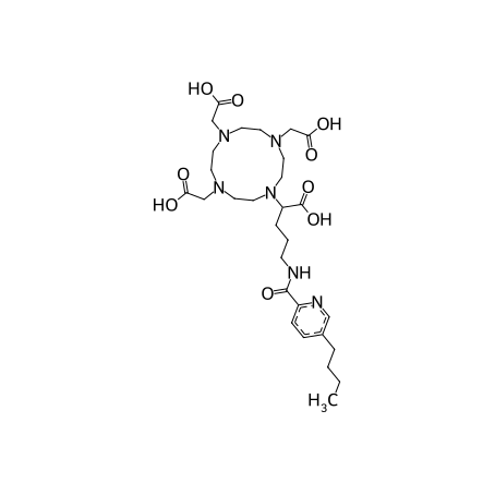 CCCCc1ccc(C(=O)NCCCC(C(=O)O)N2CCN(CC(=O)O)CCN(CC(=O)O)CCN(CC(=O)O)CC2)nc1